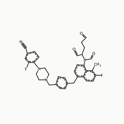 Cc1c(F)ccc2c(Cc3ccc(CN4CCN(c5ccc(C#N)cc5F)CC4)cc3)ccc(N(C=O)C(C=O)CCC=O)c12